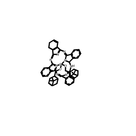 CC1(C)C2CCC(CO[Si]3(OCC4CCC5CC4C5(C)C)N4/C5=N\C6=NC(=N\c7c8ccccc8c(n73)/N=C3\N=C(NC4c4ccccc45)c4ccccc43)/C3=C6C=CCC3)C1C2